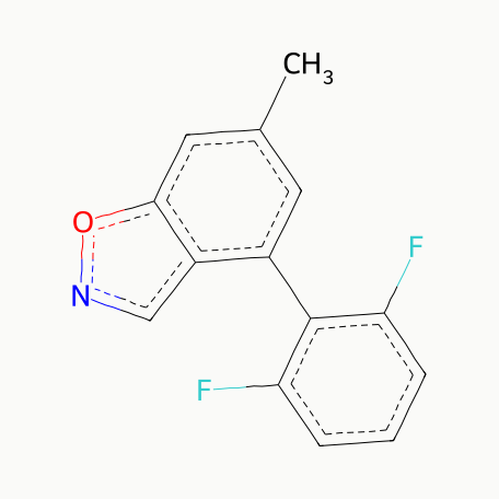 Cc1cc(-c2c(F)cccc2F)c2cnoc2c1